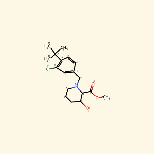 COC(=O)C1C(O)CCCN1Cc1ccc(C(C)(C)C)c(Cl)c1